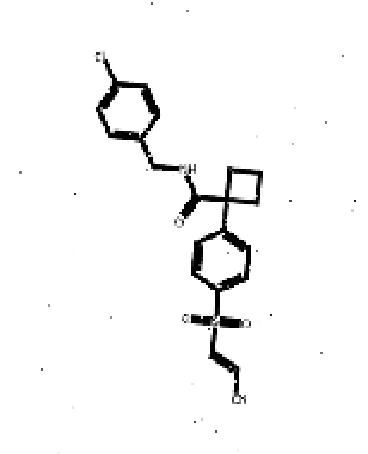 N#CC=CS(=O)(=O)c1ccc(C2(C(=O)NCc3ccc(Cl)cc3)CCC2)cc1